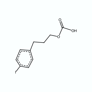 O=C(O)OCCCc1ccc(I)cc1